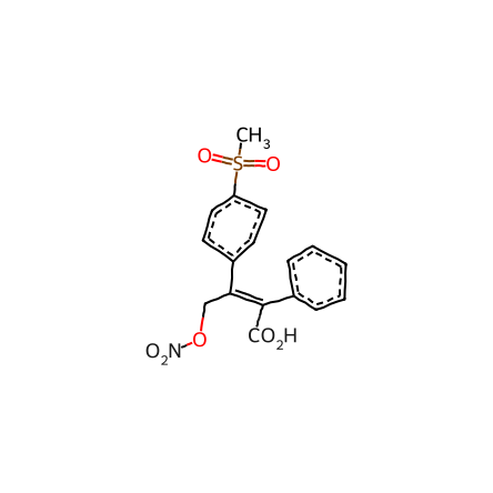 CS(=O)(=O)c1ccc(C(CO[N+](=O)[O-])=C(C(=O)O)c2ccccc2)cc1